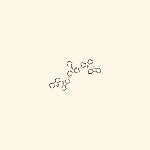 c1ccc(-n2c3ccc(-c4ccc5c6ccccc6n(-c6cccc7c6oc6ccccc67)c5c4)cc3c3ccc(-c4ccc5c6ccccc6n(-c6cccc7c6oc6ccccc67)c5c4)cc32)cc1